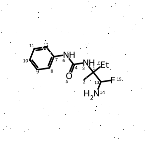 CCC(C)(NC(=O)Nc1ccccc1)C(N)F